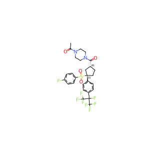 CC(=O)N1CCN(C(=O)[C@@H]2CC[C@](c3ccc(C(F)(C(F)(F)F)C(F)(F)F)cc3)(S(=O)(=O)c3ccc(F)cc3)C2)CC1